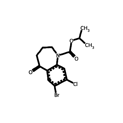 CC(C)OC(=O)N1CCCC(=O)c2cc(Br)c(Cl)cc21